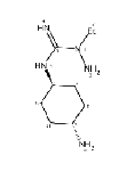 CCN(N)C(=N)N[C@H]1CC[C@H](N)CC1